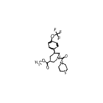 COC(=O)C1CC(c2ccc(OC(F)(F)F)cc2)CN(C(=O)N2CCSCC2)C1